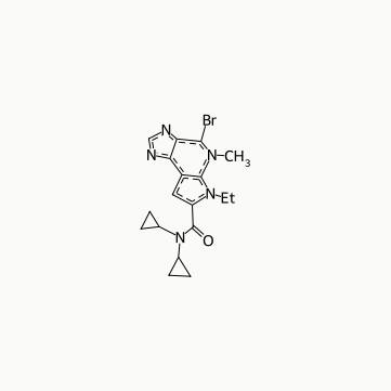 CCn1c(C(=O)N(C2CC2)C2CC2)cc2c3ncnc-3c(Br)n(C)c21